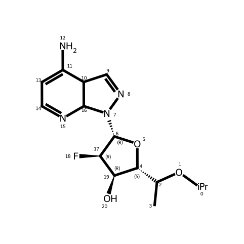 CC(C)OC(C)[C@H]1O[C@@H](N2N=CC3C(N)=CC=NC32)[C@H](F)[C@@H]1O